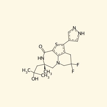 CC(C)(O)C[C@@]1(C)CN2CC(F)(F)Cc3c(-c4cn[nH]c4)sc(c32)C(=O)N1